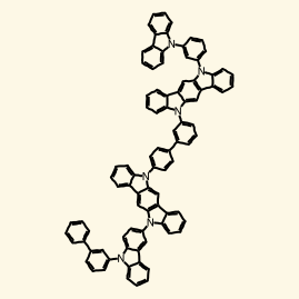 c1ccc(-c2cccc(-n3c4ccccc4c4cc(-n5c6ccccc6c6cc7c(cc65)c5ccccc5n7-c5ccc(-c6cccc(-n7c8ccccc8c8cc9c(cc87)c7ccccc7n9-c7cccc(-n8c9ccccc9c9ccccc98)c7)c6)cc5)ccc43)c2)cc1